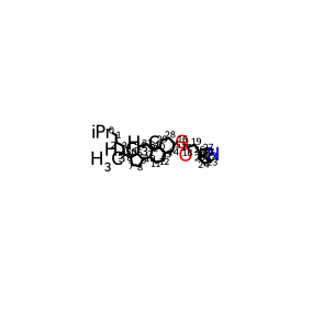 CC(C)CCCC(C)C1CCC2C3CC=C4CC(OC(=O)CC5CN6CCC5CC6)CCC4(C)C3CCC12C